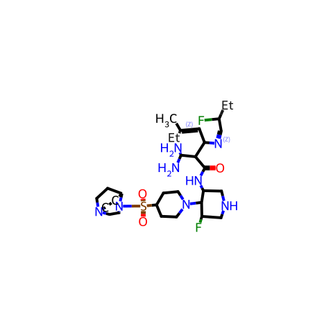 CC/C(C)=C\C(/N=C\C(F)CC)C(C(=O)NC1CNCC(F)C1N1CCC(S(=O)(=O)N2CCN3CCC2CC3)CC1)C(N)N